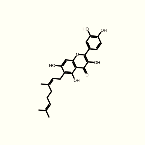 CC(C)=CCCC(C)=CCc1c(O)cc2oc(-c3ccc(O)c(O)c3)c(O)c(=O)c2c1O